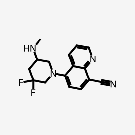 CNC1CN(c2ccc(C#N)c3ncccc23)CC(F)(F)C1